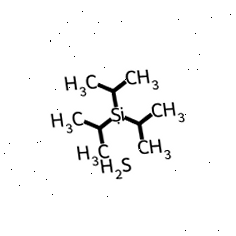 CC(C)[Si](C(C)C)C(C)C.S